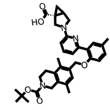 Cc1ccc(OCc2cc(C)c3c(c2C)CCN(C(=O)OC(C)(C)C)C3)c(-c2cccc(N3CC4C[C@]4(C(=O)O)C3)n2)c1